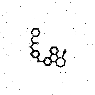 N#CC1OCCCCN1c1ncccc1-c1nc(Nc2ccc(NC(=O)CN3CCOCC3)nc2)ncc1F